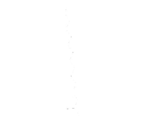 [CH2]C(O)COCCCCCCCCCCC